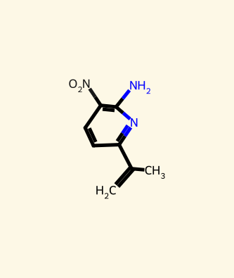 C=C(C)c1ccc([N+](=O)[O-])c(N)n1